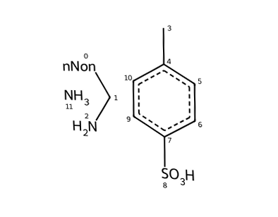 CCCCCCCCCCN.Cc1ccc(S(=O)(=O)O)cc1.N